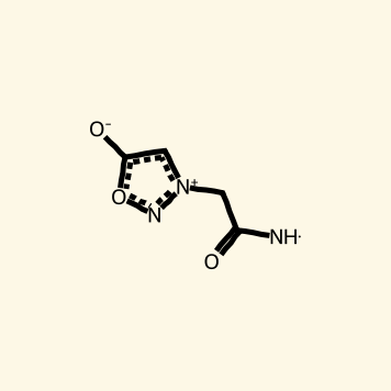 [NH]C(=O)C[n+]1cc([O-])on1